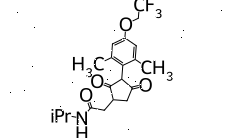 Cc1cc(OCC(F)(F)F)cc(C)c1C1C(=O)CC(CC(=O)NC(C)C)C1=O